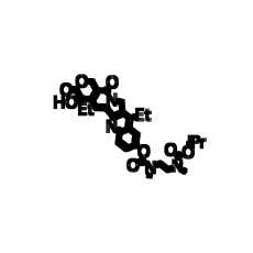 CCc1c2c(nc3ccc(OC(=O)N(C)CCN(C)C(=O)OC(C)C)cc13)-c1cc3c(c(=O)n1C2)COC(=O)[C@]3(O)CC